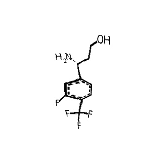 N[C@H](CCO)c1ccc(C(F)(F)F)c(F)c1